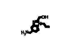 CCCn1c(CO)nc2cc(CN)ccc21